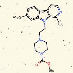 COc1ccc2c3ccnc(C(F)(F)F)c3n(CCN3CCN(C(=O)OC(C)(C)C)CC3)c2c1